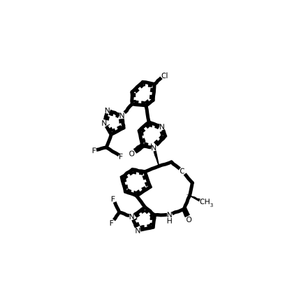 C[C@@H]1CCC[C@H](n2cnc(-c3cc(Cl)ccc3-n3cc(C(F)F)nn3)cc2=O)c2cccc(c2)-c2c(cnn2C(F)F)NC1=O